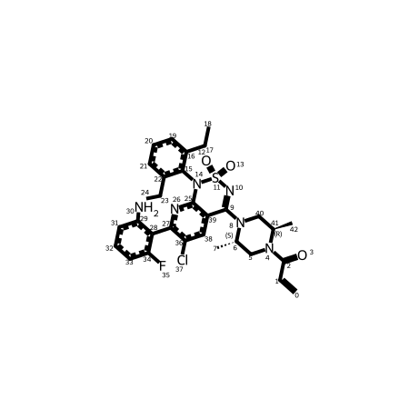 C=CC(=O)N1C[C@H](C)N(C2=NS(=O)(=O)N(c3c(CC)cccc3CC)c3nc(-c4c(N)cccc4F)c(Cl)cc32)C[C@H]1C